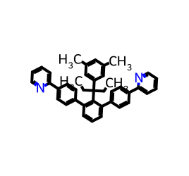 CCC(CC)(c1cc(C)cc(C)c1)c1c(-c2ccc(-c3ccccn3)cc2)cccc1-c1ccc(-c2ccccn2)cc1